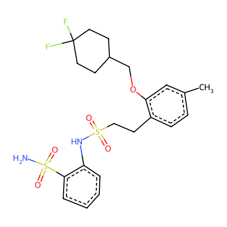 Cc1ccc(CCS(=O)(=O)Nc2ccccc2S(N)(=O)=O)c(OCC2CCC(F)(F)CC2)c1